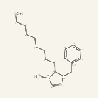 CCCCCCCCCCCCCCCCCCC1N(C)C=CN1Cc1ccccc1